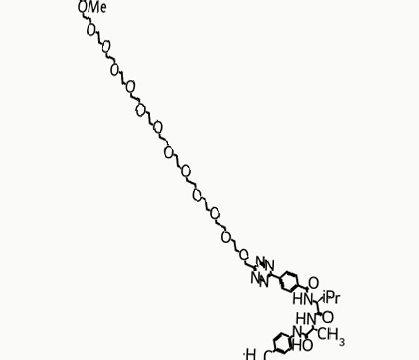 [CH2]c1ccc(NC(=O)[C@H](C)NC(=O)[C@@H](NC(=O)c2ccc(-c3nnc(COCCOCCOCCOCCOCCOCCOCCOCCOCCOCCOCCOCCOC)nn3)cc2)C(C)C)cc1